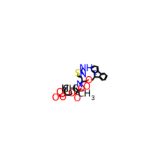 Cc1oc(=O)oc1COC(=O)C(C)(C)O/N=C(\C(=O)OCC1c2ccccc2-c2ccccc21)c1csc(N)n1